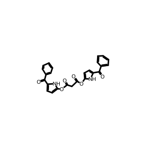 O=C(CC(=O)Oc1ccc(C(=O)c2ccccc2)[nH]1)Oc1ccc(C(=O)c2ccccc2)[nH]1